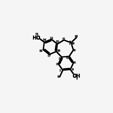 Cc1cc2c(cc1O)CN(C)Cc1cc(O)ccc1-2